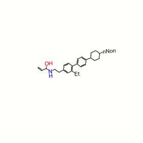 C=CC(O)NCCc1ccc(-c2ccc(C3CCC(CCCCCCCCC)CC3)cc2)c(CC)c1